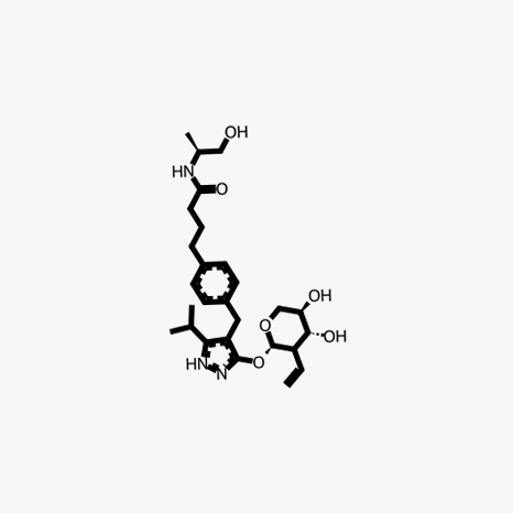 C=CC1[C@H](Oc2n[nH]c(C(C)C)c2Cc2ccc(CCCC(=O)N[C@@H](C)CO)cc2)OC[C@@H](O)[C@@H]1O